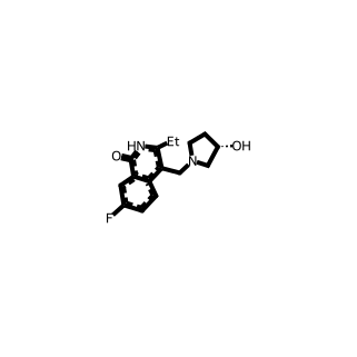 CCc1[nH]c(=O)c2cc(F)ccc2c1CN1CC[C@H](O)C1